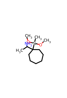 CO[Si](C)(OC)C1(C(C)N)CCCCCC1